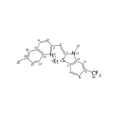 CC[n+]1c(C=C2Sc3ccc(C(F)(F)F)cc3N2C)ccc2cc(C)ccc21